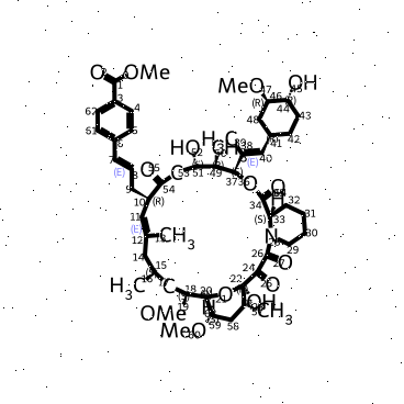 COC(=O)c1ccc(/C=C/C[C@@H]2/C=C(\C)C[C@H](C)C[C@H](OC)[C@H]3O[C@@](O)(C(=O)C(=O)N4CCCC[C@H]4C(=O)O[C@H](/C(C)=C/[C@@H]4CC[C@@H](O)[C@H](OC)C4)[C@H](C)[C@@H](O)CC2=O)[C@H](C)C[C@@H]3OC)cc1